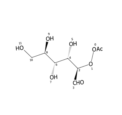 CC(=O)OO[C@@H](C=O)[C@@H](O)[C@H](O)[C@H](O)CO